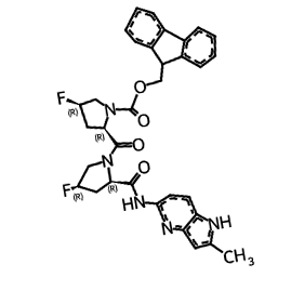 Cc1cc2nc(NC(=O)[C@H]3C[C@@H](F)CN3C(=O)[C@H]3C[C@@H](F)CN3C(=O)OCC3c4ccccc4-c4ccccc43)ccc2[nH]1